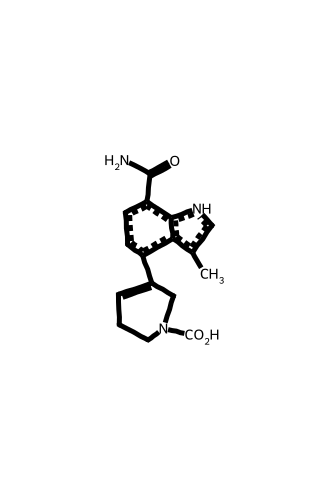 Cc1c[nH]c2c(C(N)=O)ccc(C3=CCCN(C(=O)O)C3)c12